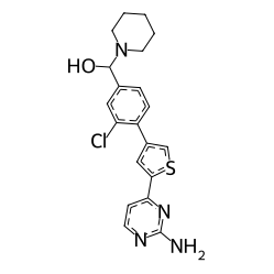 Nc1nccc(-c2cc(-c3ccc(C(O)N4CCCCC4)cc3Cl)cs2)n1